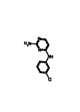 Nc1nccc(Nc2cccc(Cl)c2)n1